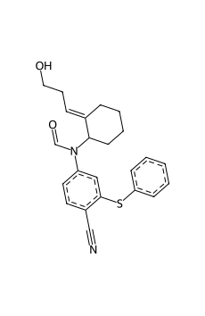 N#Cc1ccc(N(C=O)C2CCCC/C2=C\CCO)cc1Sc1ccccc1